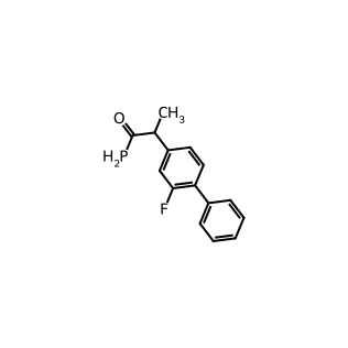 CC(C(=O)P)c1ccc(-c2ccccc2)c(F)c1